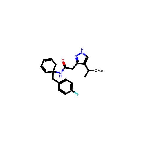 COC(C)c1c[nH]nc1CC(=O)NC1(Cc2ccc(F)cc2)C=CC=CC1